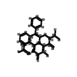 C=C1N=C(CNC(C)=O)N2C(=C1C)C(=C)N(C(C)C)C[C@@H]2C(c1ccccc1)c1ccccc1